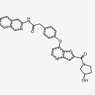 O=C(Cc1ccc(Oc2ccnc3cc(C(=O)N4CCC(O)C4)sc23)cc1)Nc1cc2ccccc2cn1